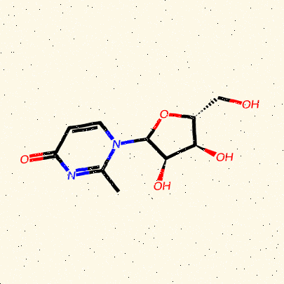 Cc1nc(=O)ccn1C1O[C@H](CO)[C@@H](O)[C@H]1O